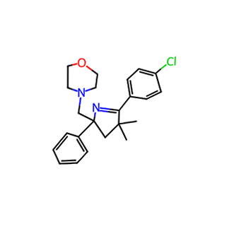 CC1(C)CC(CN2CCOCC2)(c2ccccc2)N=C1c1ccc(Cl)cc1